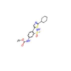 CC(C)OC(=O)Nc1ccc(-c2cnc(C3CCCCC3)s2)c(S(C)(=N)=O)c1